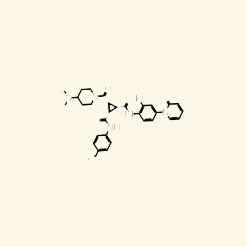 CN(C)C1CCN(C(=O)[C@H]2[C@H](C(=O)Nc3ccc(Cl)cc3)[C@@H]2C(=O)Nc2ccc(-n3ccccc3=O)cc2F)CC1